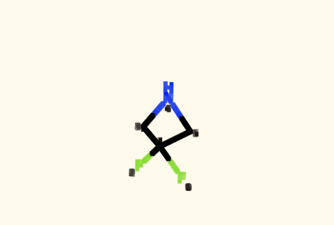 FC1(F)[CH]NC1